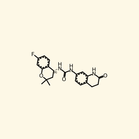 CC1(C)C[C@@H](NC(=O)Nc2ccc3c(c2)NC(=O)CC3)c2ccc(F)cc2O1